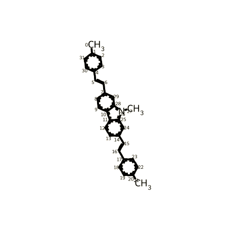 Cc1ccc(/C=C/c2ccc3c4ccc(/C=C/c5ccc(C)cc5)cc4n(C)c3c2)cc1